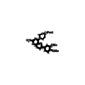 CCCCCN1CCN(c2nc(N)nc3ncc(-c4ccc(OC)c(OC)c4)nc23)CC1